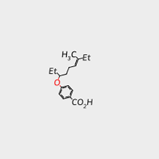 CCC(C)=CCCC(CC)Oc1ccc(C(=O)O)cc1